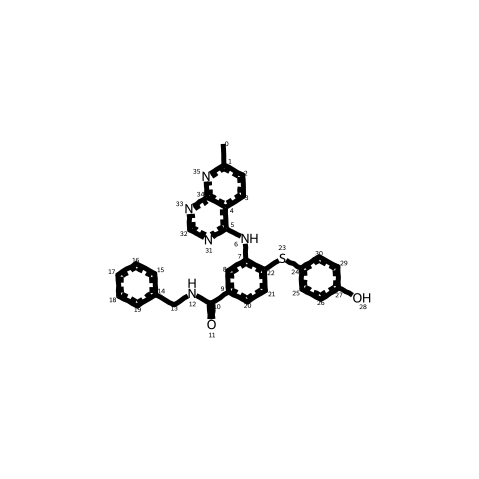 Cc1ccc2c(Nc3cc(C(=O)NCc4ccccc4)ccc3Sc3ccc(O)cc3)ncnc2n1